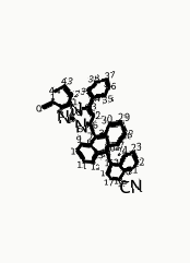 C=Cc1nc2nc(-c3c4ccccc4c(-c4ccc(C#N)c5ccccc45)c4ccccc34)cc(-c3ccccc3)n2c1/C=C\C